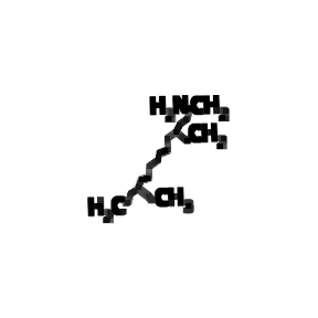 C=CCC(=C=CC)C=CCC/C=C/CC(C=C)CCC(=C)N